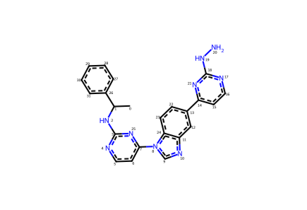 CC(Nc1nccc(-n2cnc3cc(-c4ccnc(NN)n4)ccc32)n1)c1ccccc1